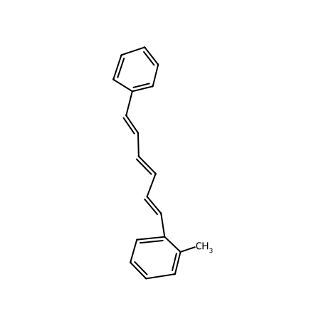 Cc1ccccc1/C=C/C=C/C=C/c1ccccc1